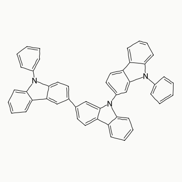 c1ccc(-n2c3ccccc3c3cc(-c4ccc5c6ccccc6n(-c6ccc7c8ccccc8n(-c8ccccc8)c7c6)c5c4)ccc32)cc1